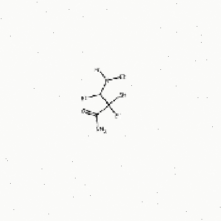 CCC(N(CC)CC)C(S)(CC)C(N)=O